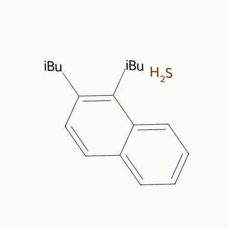 CCC(C)c1ccc2ccccc2c1C(C)CC.S